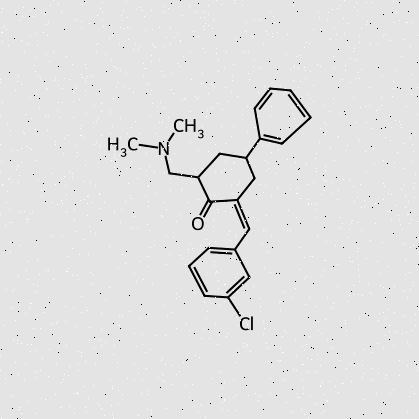 CN(C)CC1CC(c2ccccc2)CC(=Cc2cccc(Cl)c2)C1=O